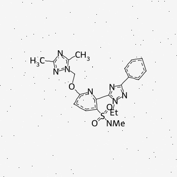 CCn1nc(-c2ccccc2)nc1-c1nc(OCn2nc(C)nc2C)ccc1S(=O)(=O)NC